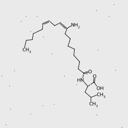 CCCCC/C=C\C/C=C(/N)CCCCCCCC(=O)NC(CC(C)C)C(=O)O